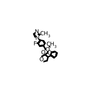 CCOC(=O)C1(OCc2ccc(-n3ccnc3C)c(F)c2)COCCC1c1ccccc1